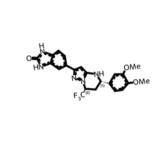 COc1ccc([C@@H]2C[C@H](C(F)(F)F)n3nc(-c4ccc5[nH]c(=O)[nH]c5c4)cc3N2)cc1OC